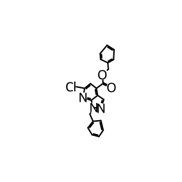 O=C(OCc1ccccc1)c1cc(Cl)nc2c1cnn2Cc1ccccc1